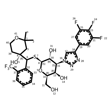 CC1(C)C[C@@](O)(C(S[C@@H]2O[C@H](CO)[C@H](O)[C@H](n3cc(-c4cc(F)c(F)c(F)c4)nn3)[C@H]2O)c2ccccc2C(F)(F)F)CCO1